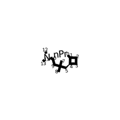 CCCC1CC[C@H]1CC(C)(C)CCN(C)C